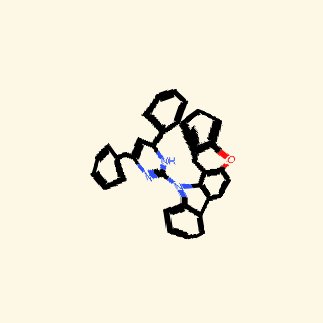 C1=C(c2ccccc2)N=C(n2c3ccccc3c3ccc4oc5ccccc5c4c32)NC1c1ccccc1